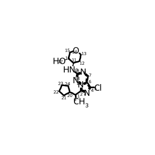 CC(c1nc(Cl)c2cnc(N[C@@H]3CCOC[C@H]3O)nn12)C1CCCC1